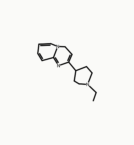 CCN1CCC(C2=CCN3C=CC=CC3=N2)CC1